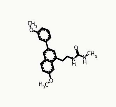 CNC(=O)NCCc1cc(-c2cccc(OC)c2)cc2ccc(OC)cc12